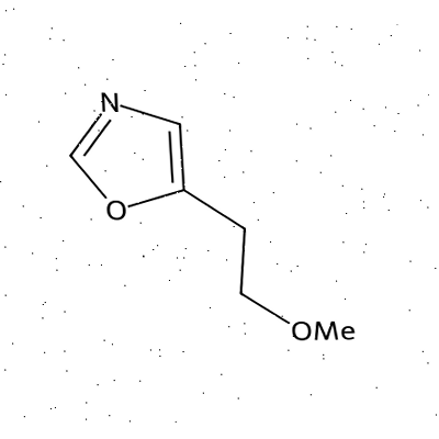 COCCc1cnco1